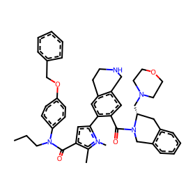 CCCN(C(=O)c1cc(-c2cc3c(cc2C(=O)N2Cc4ccccc4C[C@H]2CN2CCOCC2)CNCC3)n(C)c1C)c1ccc(OCc2ccccc2)cc1